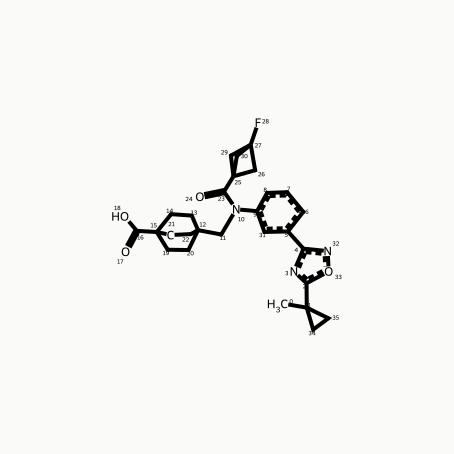 CC1(c2nc(-c3cccc(N(CC45CCC(C(=O)O)(CC4)CC5)C(=O)C45CC(F)(C4)C5)c3)no2)CC1